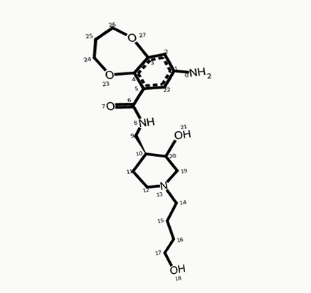 Nc1cc2c(c(C(=O)NC[C@@H]3CCN(CCCCO)CC3O)c1)OCCCO2